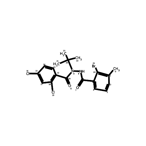 Cc1cccc(C(=O)NN(C(=O)c2ccc(Cl)cc2Cl)C(C)(C)C)c1Br